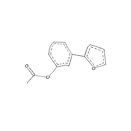 CC(=O)Oc1cccc(-c2ccco2)c1